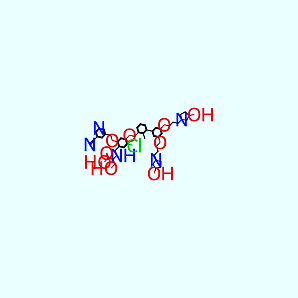 Cc1c(COc2cc(OCc3cncc(C#N)c3)c(CNC(CO)C(=O)O)cc2Cl)cccc1-c1cc(OCCCN2CCC(O)C2)cc(OCCCN2CCC(O)C2)c1